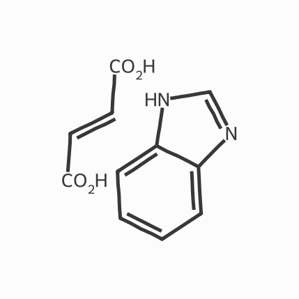 O=C(O)/C=C/C(=O)O.c1ccc2[nH]cnc2c1